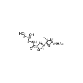 CC(=O)Nc1nc(C)c(-c2csc(C(=O)NCC(O)CO)n2)s1